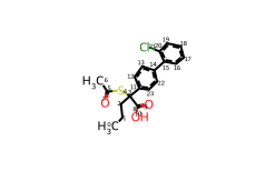 CCCC(SC(C)=O)(C(=O)O)c1ccc(-c2ccccc2Cl)cc1